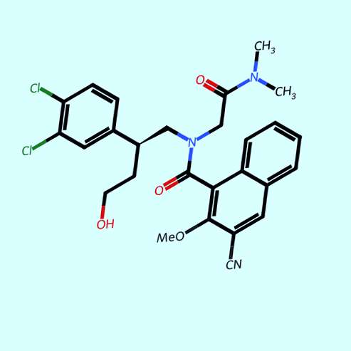 COc1c(C#N)cc2ccccc2c1C(=O)N(CC(=O)N(C)C)C[C@@H](CCO)c1ccc(Cl)c(Cl)c1